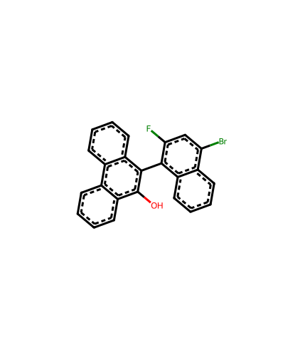 Oc1c(-c2c(F)cc(Br)c3ccccc23)c2ccccc2c2ccccc12